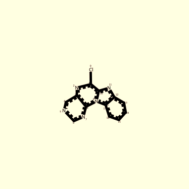 Clc1nc2cncnc2n2c1nc1ccccc12